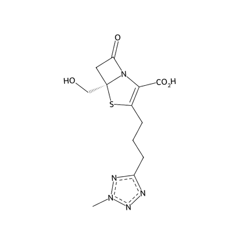 Cn1nnc(CCCC2=C(C(=O)O)N3C(=O)C[C@]3(CO)S2)n1